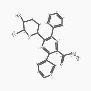 CC1CCC(c2nc(-c3cccnc3)c(C(=O)NO)nc2-c2ccccc2)OC1C